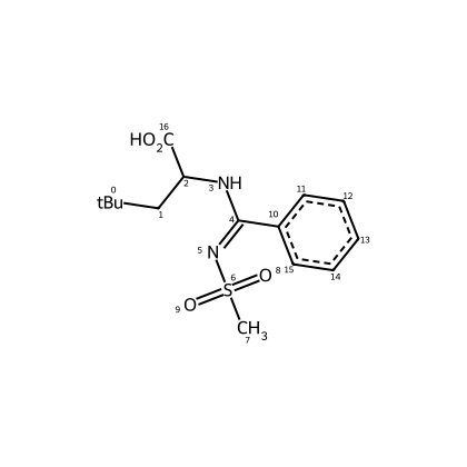 CC(C)(C)CC(N/C(=N/S(C)(=O)=O)c1ccccc1)C(=O)O